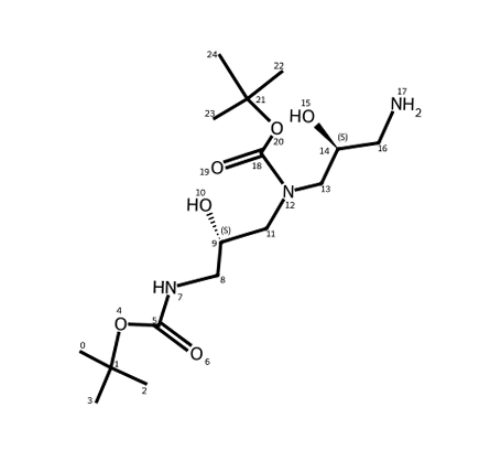 CC(C)(C)OC(=O)NC[C@H](O)CN(C[C@@H](O)CN)C(=O)OC(C)(C)C